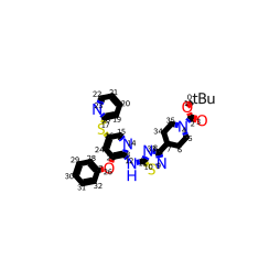 CC(C)(C)OC(=O)N1CCC(c2nsc(Nc3ncc(Sc4ccccn4)cc3Oc3ccccc3)n2)CC1